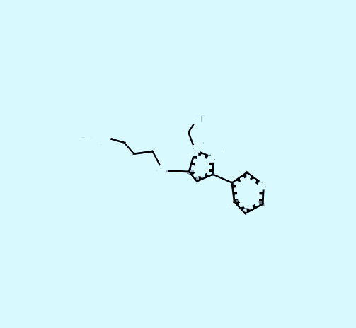 CCOC(=O)CCCOc1cc(-c2cccnc2)nn1CC(F)(F)F